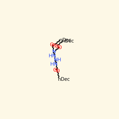 CCCCCCCCCCCCCCCOC(=O)CCCNCCNCCNCCN(CCCC(=O)OCCCCCCCCCCCCCCC)CCCC(=O)OCCCCCCCCCCCCCCC